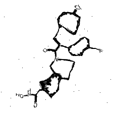 O=C(NO)c1ccc2c(c1)CN(C(=O)C(=Cc1ccc(Cl)cc1)c1ccc(F)cc1)CCC2